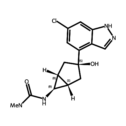 CNC(=O)N[C@H]1[C@@H]2C[C@](O)(c3cc(Cl)cc4[nH]ncc34)C[C@@H]21